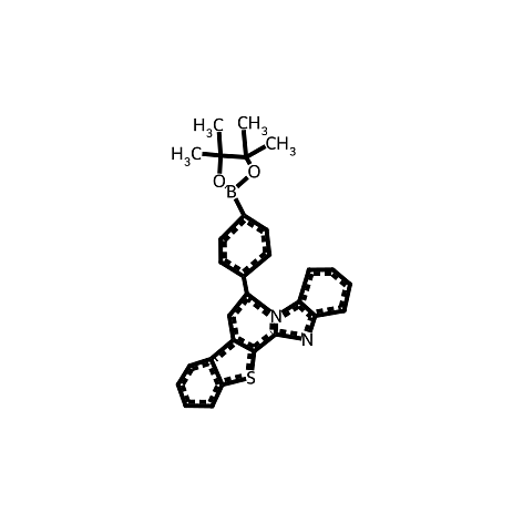 CC1(C)OB(c2ccc(-c3cc4c5ccccc5sc4c4nc5ccccc5n34)cc2)OC1(C)C